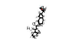 Cc1cnc2c(N)c(C(=O)N[C@H]3CCc4cc(N5CC6CNCC5CO6)ccc4C3)sc2n1